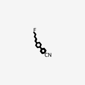 N#Cc1ccc(C2CCC(C=CCCCF)CC2)cc1